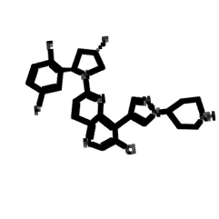 Fc1ccc(F)c([C@H]2C[C@H](F)CN2c2ccc3ncc(Cl)c(-c4cnn(C5CCNCC5)c4)c3n2)c1